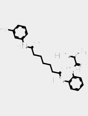 CC(C)[C@H](N)C(=O)Nc1ccccc1NC(=O)CCCCCC(=O)Nc1cccc(Br)c1